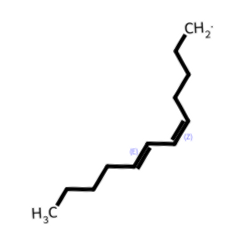 [CH2]CCC/C=C\C=C\CCCC